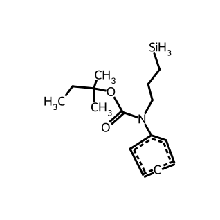 CCC(C)(C)OC(=O)N(CCC[SiH3])c1ccccc1